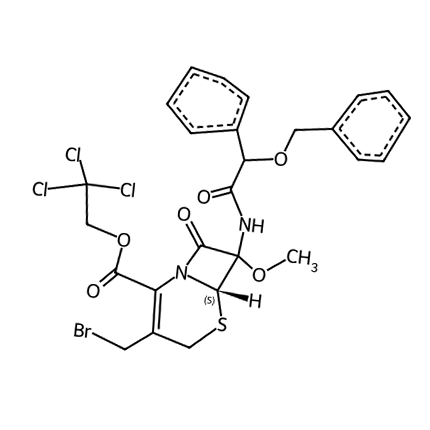 COC1(NC(=O)C(OCc2ccccc2)c2ccccc2)C(=O)N2C(C(=O)OCC(Cl)(Cl)Cl)=C(CBr)CS[C@H]21